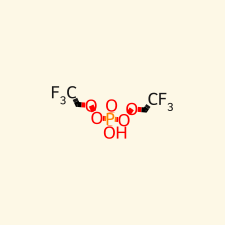 O=P(O)(OOCC(F)(F)F)OOCC(F)(F)F